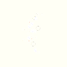 CC[C@H](C)[C@@H](C(=O)N[C@@H](Cc1ccccc1)[C@@H](O)CN(CC(C)C)S(=O)(=O)c1ccc(C=NO)cc1)N1CC(=O)N(Cc2csc(NC(C)=O)n2)C1=O